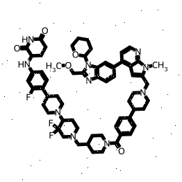 COCc1nc2ccc(-c3ccnc4c3cc(CN3CCC(c5ccc(C(=O)N6CCC(CN7CCC(N8CCC(c9ccc(NC%10CCC(=O)NC%10=O)cc9F)CC8)C(F)(F)C7)CC6)cc5)CC3)n4C)cc2n1C1CCCCO1